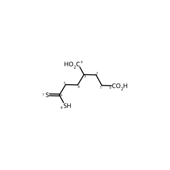 O=C(O)CCC(CCC(=S)S)C(=O)O